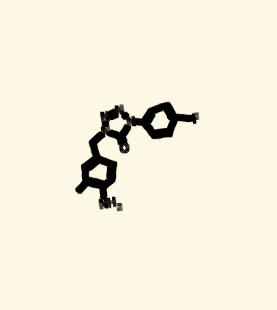 Cc1cc(Cn2nnn(-c3ccc(F)cc3)c2=O)ccc1N